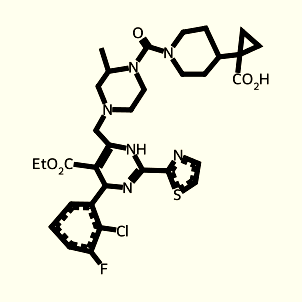 CCOC(=O)C1=C(CN2CCN(C(=O)N3CCC(C4(C(=O)O)CC4)CC3)C(C)C2)NC(c2nccs2)=NC1c1cccc(F)c1Cl